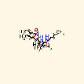 C=CCCCCNC(=O)[C@@H](NC(=O)[C@H](CCCC=C)CN(C=O)OCCCC)C(C)(C)C